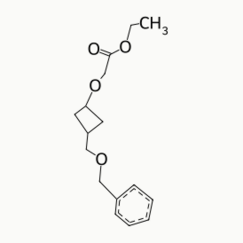 CCOC(=O)COC1CC(COCc2ccccc2)C1